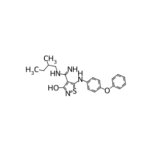 CCC(C)CNC(=N)c1c(O)nsc1Nc1ccc(Oc2ccccc2)cc1